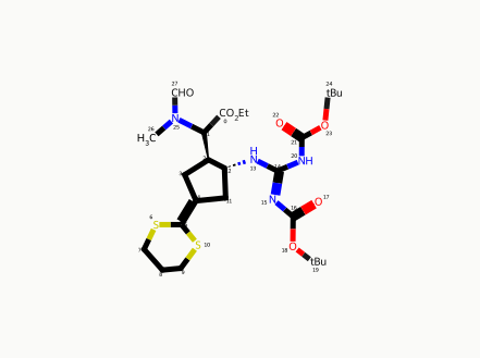 CCOC(=O)C([C@@H]1CC(=C2SCCCS2)C[C@H]1NC(=NC(=O)OC(C)(C)C)NC(=O)OC(C)(C)C)N(C)C=O